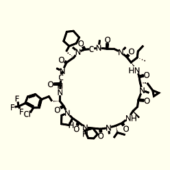 CC[C@H](C)[C@@H]1NC(=O)[C@H](CC2CC2)N(C)C(=O)C[C@@H](C)NC(=O)[C@H](C(C)C)N(C)C(=O)C2(CCCC2)NC(=O)[C@@H]2CCCN2C(=O)[C@H](CCc2ccc(C(F)(F)F)c(Cl)c2)NC(=O)CN(C)C(=O)[C@H](CC2CCCCC2)N(C)C(=O)CN(C)C(=O)CN(C)C1=O